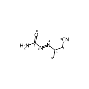 CC(CC#N)N=NC(N)=O